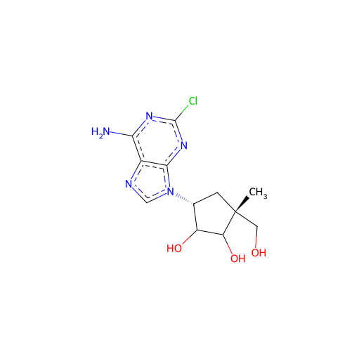 C[C@]1(CO)C[C@@H](n2cnc3c(N)nc(Cl)nc32)C(O)C1O